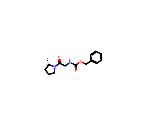 C[C@H]1CCCN1C(=O)CNC(=O)OCc1ccccc1